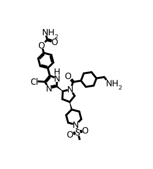 CS(=O)(=O)N1CCC([C@H]2C[C@@H](c3nc(Cl)c(-c4ccc(OC(N)=O)cc4)[nH]3)N(C(=O)C3CCC(CN)CC3)C2)CC1